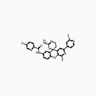 NC1=NCC[C@]2(S1)c1cc(NC(=O)c3ccc(F)cn3)ccc1Oc1c2cc(-c2ccnc(F)c2)nc1F